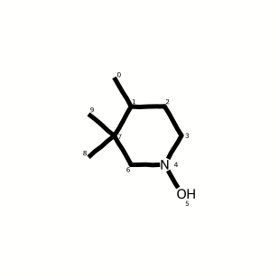 CC1CCN(O)CC1(C)C